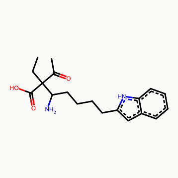 CCC(C(C)=O)(C(=O)O)C(N)CCCCc1cc2ccccc2[nH]1